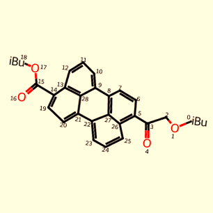 CCC(C)OCC(=O)c1ccc2c3cccc4c(C(=O)OC(C)CC)ccc(c5cccc1c25)c43